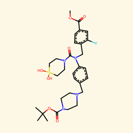 COC(=O)c1ccc(CN(C(=O)N2CCS(O)(O)CC2)c2ccc(CN3CCN(C(=O)OC(C)(C)C)CC3)cc2)c(F)c1